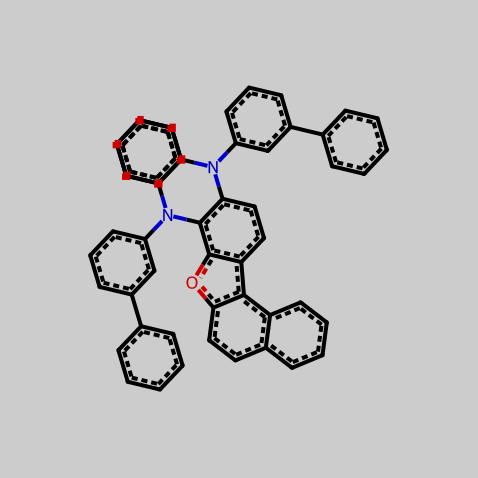 c1ccc(-c2cccc(N(c3ccccc3)c3ccc4c(oc5ccc6ccccc6c54)c3N(c3ccccc3)c3cccc(-c4ccccc4)c3)c2)cc1